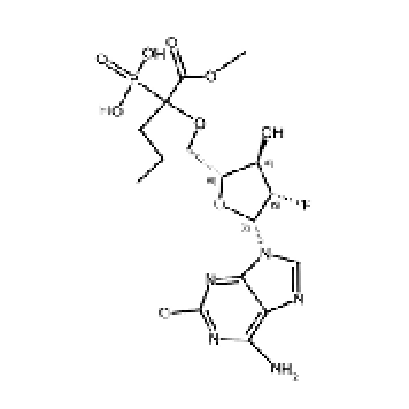 CCCC(OC[C@H]1O[C@@H](n2cnc3c(N)nc(Cl)nc32)[C@@H](F)[C@@H]1O)(C(=O)OC)P(=O)(O)O